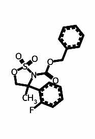 CC1(c2ccccc2F)COS(=O)(=O)N1C(=O)OCc1ccccc1